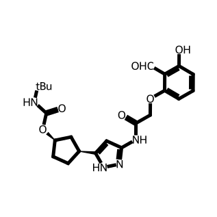 CC(C)(C)NC(=O)O[C@@H]1CC[C@H](c2cc(NC(=O)COc3cccc(O)c3C=O)n[nH]2)C1